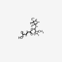 CC(C)C(CC(F)(F)C(F)(F)F)OC(=O)C=CC(=O)O